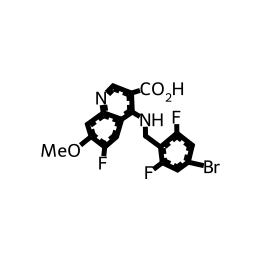 COc1cc2ncc(C(=O)O)c(NCc3c(F)cc(Br)cc3F)c2cc1F